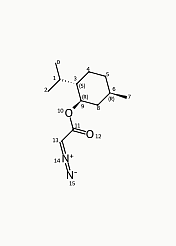 CC(C)[C@@H]1CC[C@@H](C)C[C@H]1OC(=O)C=[N+]=[N-]